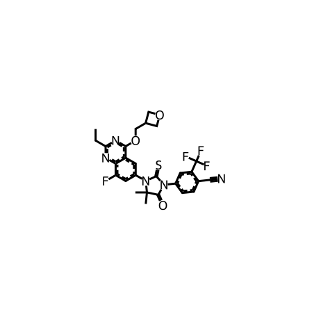 CCc1nc(OCC2COC2)c2cc(N3C(=S)N(c4ccc(C#N)c(C(F)(F)F)c4)C(=O)C3(C)C)cc(F)c2n1